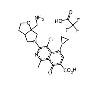 Cc1nc(N2CC3CCOC3(CN)C2)c(Cl)c2c1c(=O)c(C(=O)O)cn2C1CC1.O=C(O)C(F)(F)F